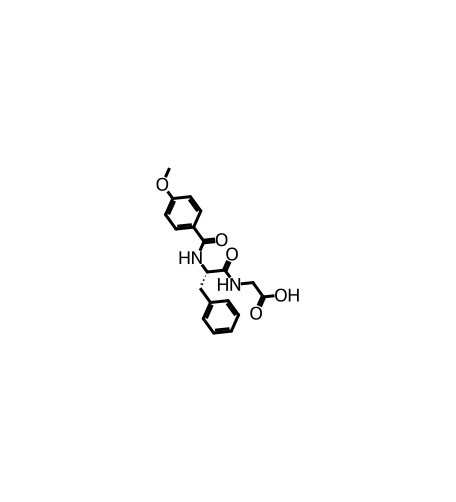 COc1ccc(C(=O)N[C@@H](Cc2ccccc2)C(=O)NCC(=O)O)cc1